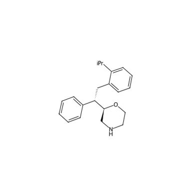 CC(C)c1ccccc1C[C@@H](c1ccccc1)[C@@H]1CNCCO1